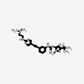 CN(C)CCNc1ncc(C#Cc2cccc(NC(=O)Nc3cc(C(C)(C)C)nn3C)c2)cn1